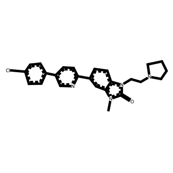 Cn1c(=O)n(CCN2CCCC2)c2ccc(-c3ccc(-c4ccc(Cl)cc4)cn3)cc21